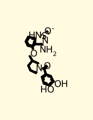 NC1=N[S+]([O-])Nc2cccc(OCC3CCCN(C(=O)c4ccc(O)c(O)c4)C3)c21